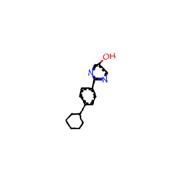 Oc1cnc(-c2ccc(C3CCCCC3)cc2)nc1